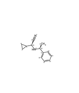 C[C@H](N[C@H](C#N)C1CC1)c1ccccc1